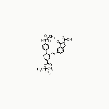 CC(C)(C)OC(=O)N1CC[C@@H](c2ccc(NS(C)(=O)=O)cc2)[C@H](COc2ccc3c(c2)C(=O)N(C(=O)O)C3)C1